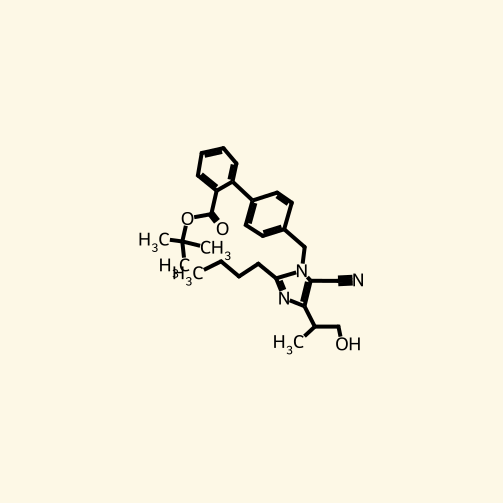 CCCCc1nc(C(C)CO)c(C#N)n1Cc1ccc(-c2ccccc2C(=O)OC(C)(C)C)cc1